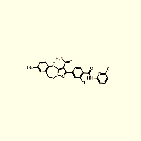 Cc1cccc(NC(=O)c2ccc(-c3nn4c(c3C(N)=O)Nc3ccc(C(C)(C)C)cc3CC4)cc2Cl)n1